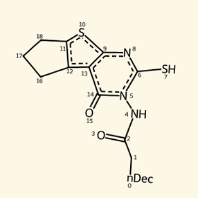 CCCCCCCCCCCC(=O)Nn1c(S)nc2sc3c(c2c1=O)CCC3